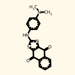 CN(C)c1ccc(Nc2nc3c(s2)C(=O)c2ccccc2C3=O)cc1